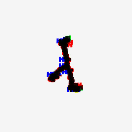 O=C(CCOCC(COCCC(=O)NCCOCCOCCOCCOC[C@@]12CO[C@@H](O1)[C@H](Nc1nc(Cl)ns1)[C@@H](O)[C@H]2O)NC(=O)COCCOCCOCCNc1ccc([N+](=O)[O-])cc1[N+](=O)[O-])NCCOCCOCCOCCOC[C@@]12CO[C@@H](O1)[C@H](Nc1nc(Cl)ns1)[C@@H](O)[C@H]2O